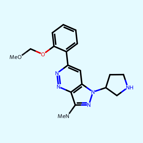 CNc1nn(C2CCNC2)c2cc(-c3ccccc3OCOC)nnc12